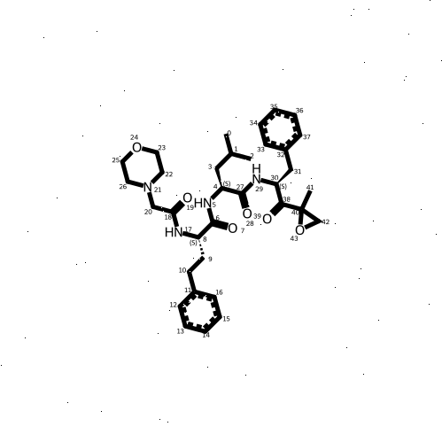 CC(C)C[C@H](NC(=O)[C@H](CCc1ccccc1)NC(=O)CN1CCOCC1)C(=O)N[C@@H](Cc1ccccc1)C(=O)C1(C)CO1